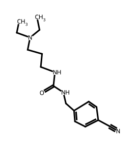 CCN(CC)CCCNC(=O)NCc1ccc(C#N)cc1